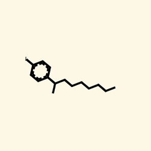 CCCCCCCC(C)c1ccc(I)cc1